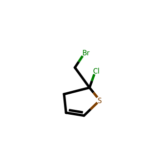 ClC1(CBr)CC=CS1